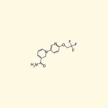 NC(=O)C1=CC=CN(c2ccc(OCC(F)(F)F)nc2)C1